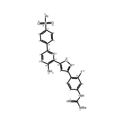 CNC(=N)Nc1ccc(-c2cc(-c3nc(-c4ccc(S(=O)(=O)C(C)C)cc4)cnc3N)on2)c(F)c1